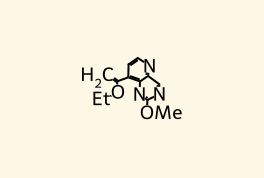 C=C(OCC)c1ccnc2cnc(OC)nc12